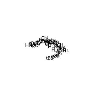 CC(C)(C)N[C@H]1C[C@@H](Oc2ccc(OC(C)(C)CCC(C)(C)N3CCN(c4cc(C(C)(C)CCC(C)(C)N[C@H]5C[C@@H](OCCOC(C)(C)C)C5)ccn4)CC3)cn2)C1